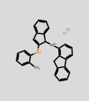 Cc1ccccc1PC1=Cc2ccccc2[CH]1[Hf+2][c]1cccc2c1Cc1ccccc1-2.[Cl-].[Cl-]